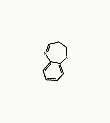 [C]1=Nc2ccccc2SCC1